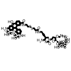 [N-]=[N+]=NCO[C@H]1CC(N2CC(C#CCNC(=O)CCSSCCNC(=O)c3ccc(C(=O)O)c(-c4c5ccc(=N)c(S(=O)(=O)O)c-5oc5c(S(=O)(=O)O)c(N)ccc45)c3)C(N)=NC2=O)O[C@@H]1COP(=O)(O)OP(=O)(O)OP(=O)(O)O